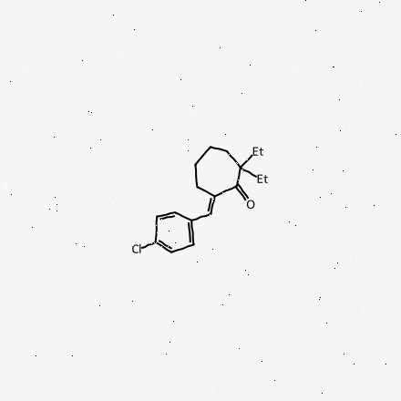 CCC1(CC)CCCCC(=Cc2ccc(Cl)cc2)C1=O